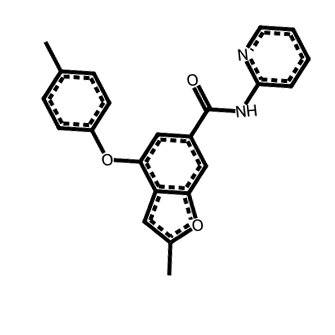 Cc1ccc(Oc2cc(C(=O)Nc3ccccn3)cc3oc(C)cc23)cc1